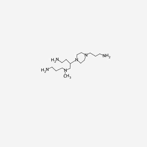 CN(CCCN)CC(CCN)N1CCN(CCCN)CC1